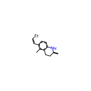 C=C1CCc2c(ccc(/C=C\CC)c2C)N1